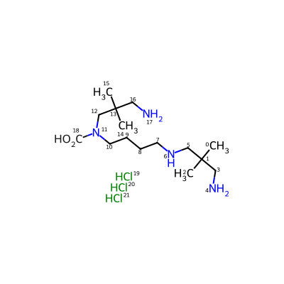 CC(C)(CN)CNCCCCN(CC(C)(C)CN)C(=O)O.Cl.Cl.Cl